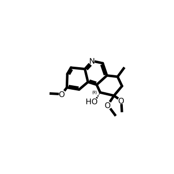 COc1ccc2ncc3c(c2c1)[C@@H](O)C(OC)(OC)CC3C